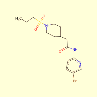 CCCS(=O)(=O)N1CCC(CC(=O)Nc2ccc(Br)cn2)CC1